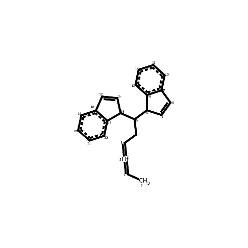 C[CH]=[Hf]=[CH]CC(C1C=Cc2ccccc21)C1C=Cc2ccccc21